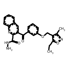 CCc1onc(C)c1COc1cccc(C(=O)c2cc3ccccc3nc2C(=O)NN)c1